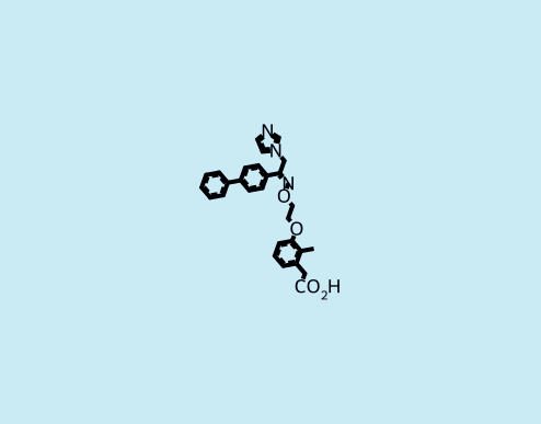 Cc1c(CC(=O)O)cccc1OCCON=C(Cn1ccnc1)c1ccc(-c2ccccc2)cc1